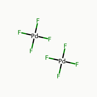 [F][Pd]([F])([F])[F].[F][Pd]([F])([F])[F]